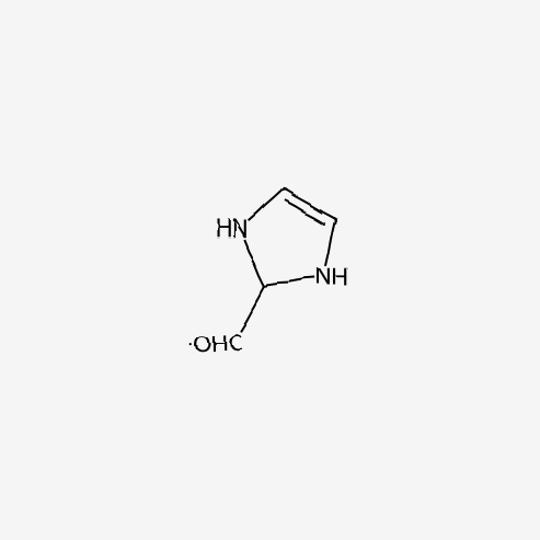 O=[C]C1NC=CN1